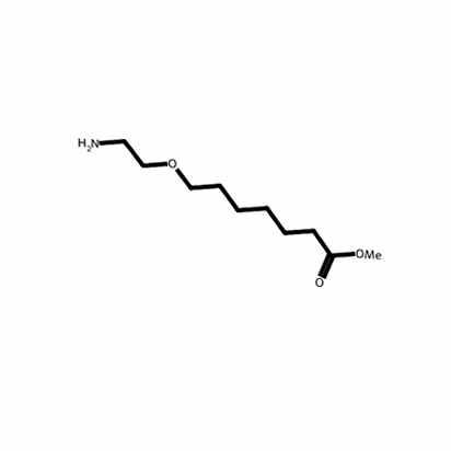 COC(=O)CCCCCCOCCN